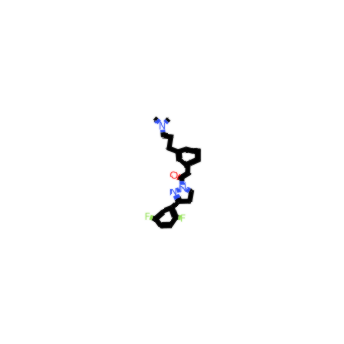 CN(C)CC[CH]c1cccc(CC(=O)N2CCC(c3cc(F)ccc3F)=N2)c1